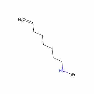 C=CCCCCCCNC(C)C